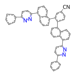 N#Cc1ccc(-c2cccc3c(-c4ccc(-c5ccccc5)nn4)cccc23)c(-c2cccc3c(-c4ccc(-c5ccccc5)nn4)cccc23)c1